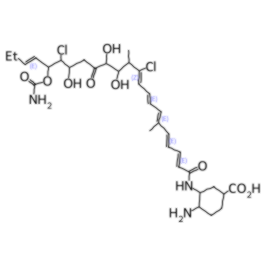 CC/C=C/C(OC(N)=O)C(Cl)C(O)CC(=O)C(O)C(O)C(C)/C(Cl)=C/C=C/C=C(C)/C=C/C=C/C(=O)NC1CC(C(=O)O)CCC1N